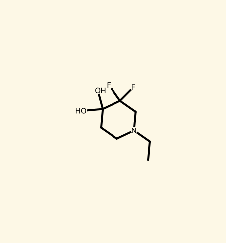 CCN1CCC(O)(O)C(F)(F)C1